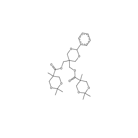 CC1(C)OCC(C)(C(=O)OCC2(COC(=O)C3(C)COC(C)(C)OC3)COC(c3ccccc3)OC2)CO1